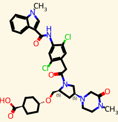 CN1CCN([C@H]2C[C@@H](CO[C@H]3CC[C@H](C(=O)O)CC3)N(C(=O)Cc3cc(Cl)c(NC(=O)c4cn(C)c5ccccc45)cc3Cl)C2)CC1=O